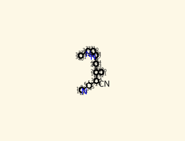 N#Cc1cc(C2=CC=C(c3ccccn3)CC2)cc(-c2ccc(-c3ccc(-c4ccc5ccc6ccc(-c7ccccc7)nc6c5n4)cc3)c3ccccc23)c1